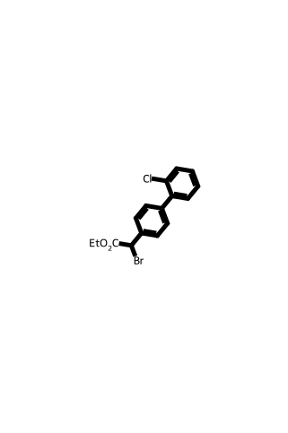 CCOC(=O)C(Br)c1ccc(-c2ccccc2Cl)cc1